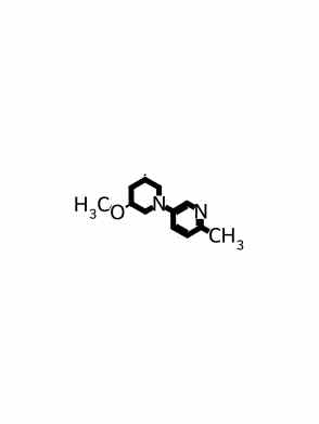 CO[C@@H]1C[CH]CN(c2ccc(C)nc2)C1